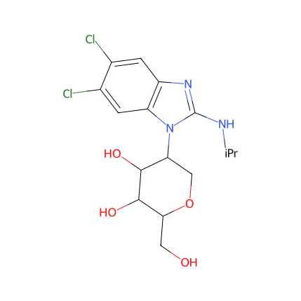 CC(C)Nc1nc2cc(Cl)c(Cl)cc2n1C1COC(CO)C(O)C1O